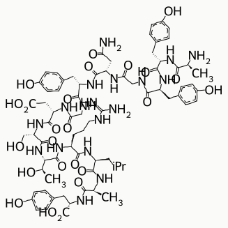 CC(C)C[C@H](NC(=O)[C@H](CCCNC(=N)N)NC(=O)[C@@H](NC(=O)[C@H](CO)NC(=O)[C@H](CC(=O)O)NC(=O)CNC(=O)[C@H](Cc1ccc(O)cc1)NC(=O)[C@H](CC(N)=O)NC(=O)CNC(=O)[C@H](Cc1ccc(O)cc1)NC(=O)[C@H](Cc1ccc(O)cc1)NC(=O)[C@H](C)N)[C@@H](C)O)C(=O)N[C@@H](C)C(=O)N[C@@H](Cc1ccc(O)cc1)C(=O)O